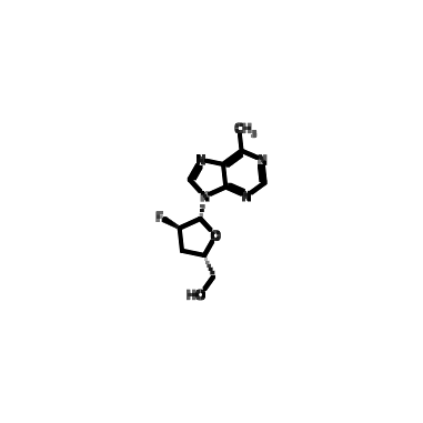 Cc1ncnc2c1ncn2[C@@H]1O[C@H](CO)C[C@H]1F